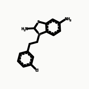 Nc1ccc2c(c1)SC(N)N2CCc1cccc(Cl)c1